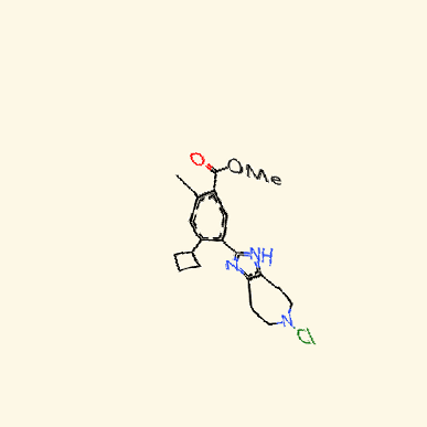 COC(=O)c1cc(-c2nc3c([nH]2)CCN(Cl)CC3)c(C2CCC2)cc1C